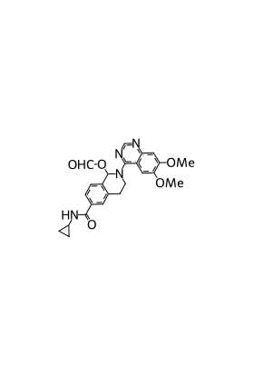 COc1cc2ncnc(N3CCc4cc(C(=O)NC5CC5)ccc4C3OC=O)c2cc1OC